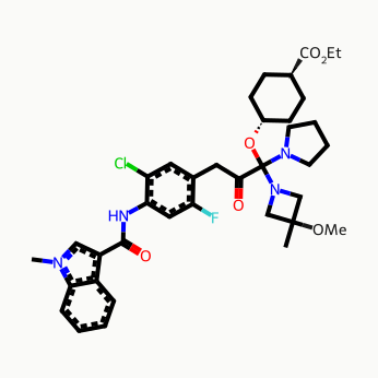 CCOC(=O)[C@H]1CC[C@H](OC(C(=O)Cc2cc(Cl)c(NC(=O)c3cn(C)c4ccccc34)cc2F)(N2CCCC2)N2CC(C)(OC)C2)CC1